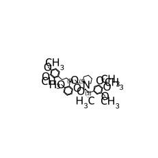 CC[C@H](C(=O)N1CCCC[C@H]1C(=O)O[C@H](CCc1ccc(OC)c(OC)c1)c1ccccc1O)c1cc(OC)c(OC)c(OC)c1